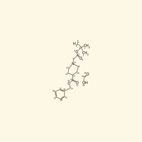 CC(C)(C)OC(=O)CN1CCC(C(=O)OCc2ccccc2)CC1.O=CO